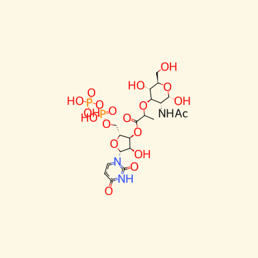 CC(=O)N[C@@H]1[C@@H](OC(C)C(=O)O[C@H]2[C@@H](O)[C@H](n3ccc(=O)[nH]c3=O)O[C@@H]2COP(=O)(O)OP(=O)(O)O)[C@H](O)[C@@H](CO)O[C@@H]1O